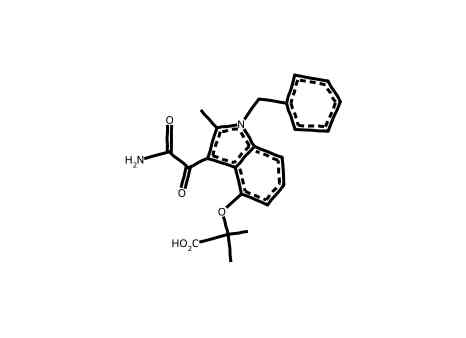 Cc1c(C(=O)C(N)=O)c2c(OC(C)(C)C(=O)O)cccc2n1Cc1ccccc1